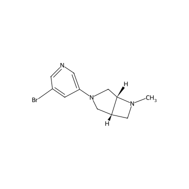 CN1C[C@@H]2CN(c3cncc(Br)c3)C[C@@H]21